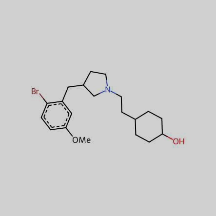 COc1ccc(Br)c(CC2CCN(CCC3CCC(O)CC3)C2)c1